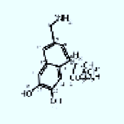 CC(=O)O.CC(=O)O.Cl.NCc1ccc2cc(O)c(O)cc2c1